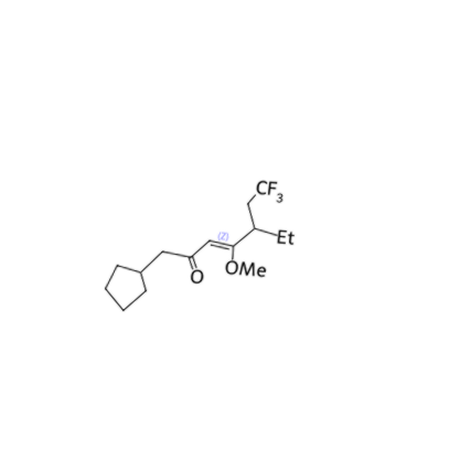 CCC(CC(F)(F)F)/C(=C/C(=O)CC1CCCC1)OC